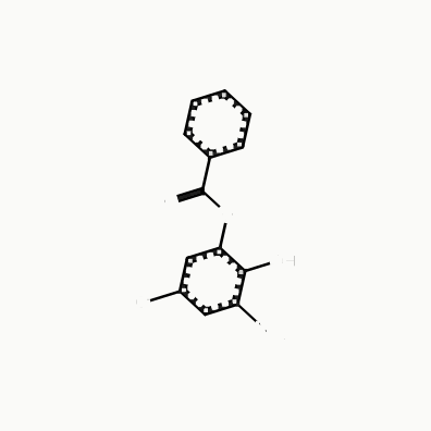 Nc1cc(Cl)cc(OC(=O)c2ccccc2)c1O